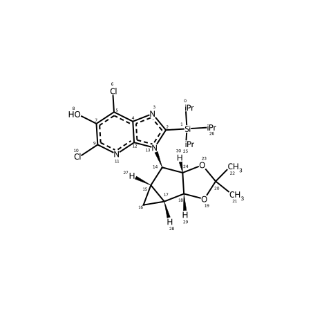 CC(C)[Si](c1nc2c(Cl)c(O)c(Cl)nc2n1[C@@H]1[C@H]2C[C@H]2[C@H]2OC(C)(C)O[C@H]21)(C(C)C)C(C)C